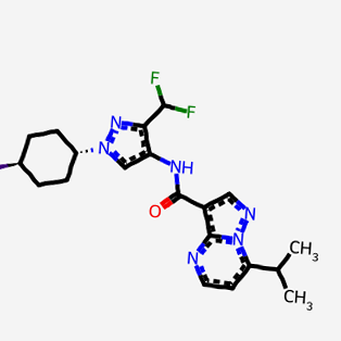 CC(C)c1ccnc2c(C(=O)Nc3cn([C@H]4CC[C@H](I)CC4)nc3C(F)F)cnn12